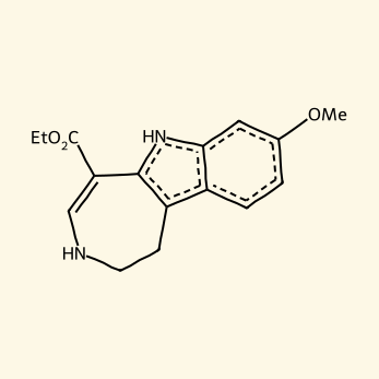 CCOC(=O)C1=CNCCc2c1[nH]c1cc(OC)ccc21